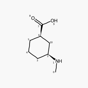 CN[C@H]1CCC[C@@H](C(=O)O)C1